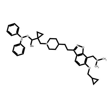 CN(C)Cc1c(OCC2CC2)ccc2c(CCC3CCN(CC4(C(O[SiH](c5ccccc5)c5ccccc5)C(C)(C)C)CC4)CC3)noc12